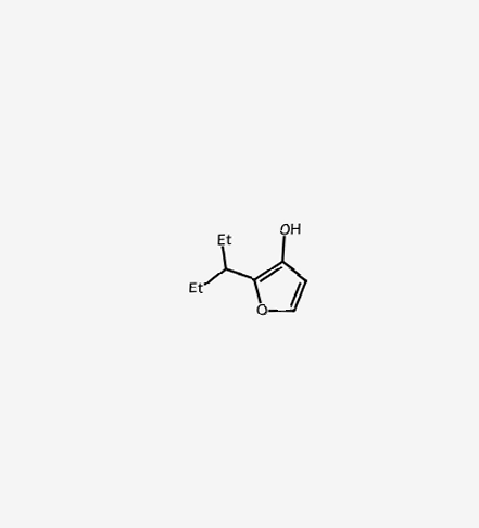 CCC(CC)c1occc1O